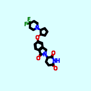 O=C1CCC(N2Cc3cc(O[C@@H]4CCC[C@@H]4N4CCC(F)(F)CC4)ccc3C2=O)C(=O)N1